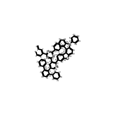 C=C/C=C(\C=C/C)c1nc(-c2ccccc2)nc(-c2cc(-c3c(-c4ccccc4)cccc3C3C=CC=CC3)cnc2-c2ccc3c(c2)oc2ccc4c(c5ccccc5n4-c4ccccc4)c23)n1